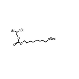 CCCCCCCCCCCCCCCCCCOC(=O)OCC(CC)CCCC